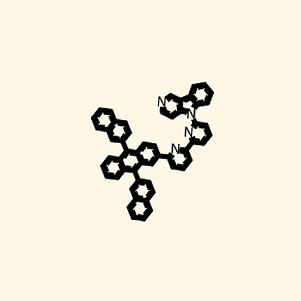 c1cc(-c2ccc3c(-c4ccc5ccccc5c4)c4ccccc4c(-c4ccc5ccccc5c4)c3c2)nc(-c2cccc(-n3c4ccccc4c4cnccc43)n2)c1